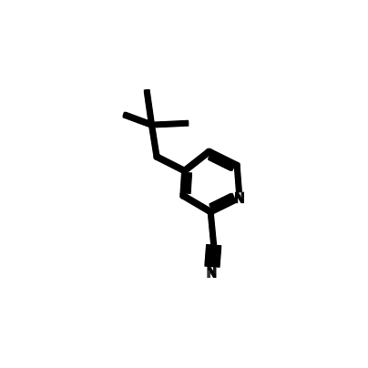 CC(C)(C)Cc1ccnc(C#N)c1